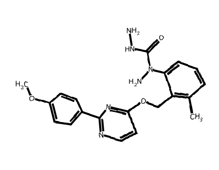 COc1ccc(-c2nccc(OCc3c(C)cccc3N(N)C(=O)NN)n2)cc1